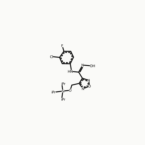 CC(C)[Si](OCc1nonc1/C(=N\O)Nc1ccc(F)c(Cl)c1)(C(C)C)C(C)C